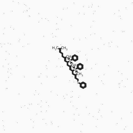 CC(C)=CCC/C(C)=C/C(C/C(C)=C/C(C/C(C)=C/CSc1ccccc1)S(=O)(=O)c1ccccc1)S(=O)(=O)c1ccccc1